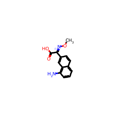 CO/N=C(/C(=O)O)c1ccc2cccc(N)c2c1